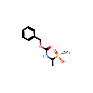 CO[P@](=O)(O)C(C)NC(=O)OCc1ccccc1